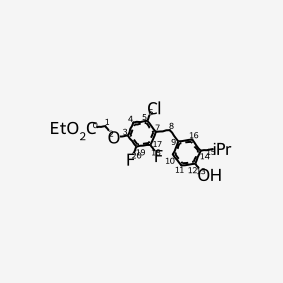 CCOC(=O)COc1cc(Cl)c(Cc2ccc(O)c(C(C)C)c2)c(F)c1F